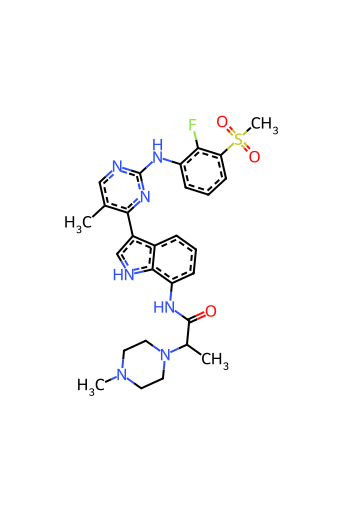 Cc1cnc(Nc2cccc(S(C)(=O)=O)c2F)nc1-c1c[nH]c2c(NC(=O)C(C)N3CCN(C)CC3)cccc12